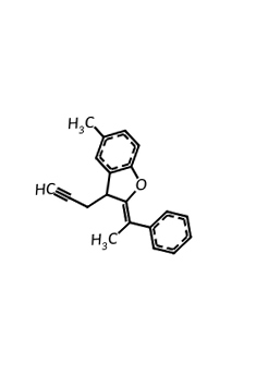 C#CCC1/C(=C(\C)c2ccccc2)Oc2ccc(C)cc21